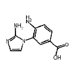 Nc1ccc(C(=O)O)cc1-n1ccnc1N